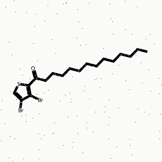 CCCCCCCCCCCCCC(=O)c1scc(Br)c1Br